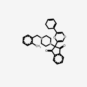 Cc1ccccc1CN1CCN(C2(C3=COC=C(C4=CC=CCC4)O3)C(=O)c3ccccc3C2=O)CC1